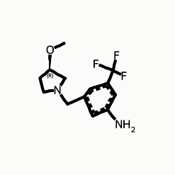 CO[C@@H]1CCN(Cc2cc(N)cc(C(F)(F)F)c2)C1